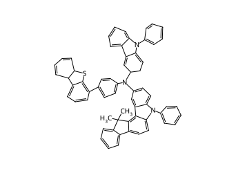 CC1(C)c2ccccc2-c2ccc3c(c21)c1cc(N(c2ccc(-c4cccc5c4SC4C=CC=CC54)cc2)C2C=c4c(n(-c5ccccc5)c5ccccc45)=CC2)ccc1n3-c1ccccc1